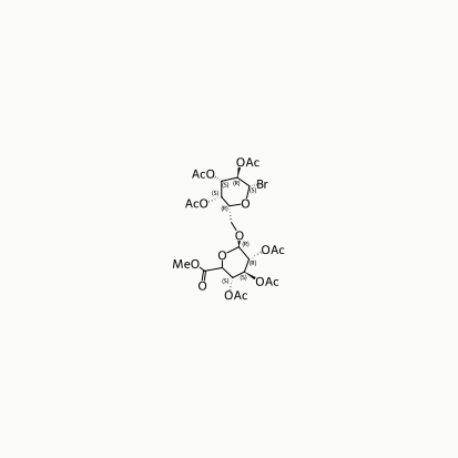 COC(=O)C1O[C@@H](OC[C@H]2O[C@@H](Br)[C@H](OC(C)=O)[C@@H](OC(C)=O)[C@H]2OC(C)=O)[C@H](OC(C)=O)[C@@H](OC(C)=O)[C@@H]1OC(C)=O